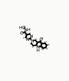 O=C(NO)c1cnc(N2CCc3[nH]c4ccccc4c(=O)c3C2)nc1